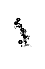 COc1cccc(-c2ccccc2)c1CN1CCN(c2ccc3c(NS(=O)(=O)c4ccc(NC(CCN(C)C)CSc5ccccc5)c([N+](=O)[O-])c4)ncnc3c2)CC1